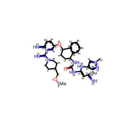 CSOCC1CCN(C(=N)n2cc(OC3CCC(NC(=O)N/C(=C/C(=N)C(C)(C)C)Nc4cnn(C)c4)c4ccccc43)ccc2=N)CC1